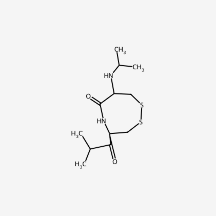 CC(C)NC1CSSCC(C(=O)C(C)C)NC1=O